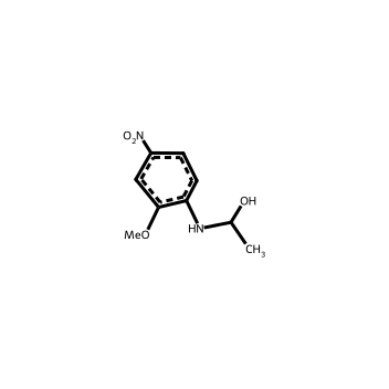 COc1cc([N+](=O)[O-])ccc1NC(C)O